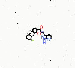 Cc1ccc2c(c1CC1CCCC[C@H]1F)O/C(=C\c1n[nH]c3ncccc13)C2=O